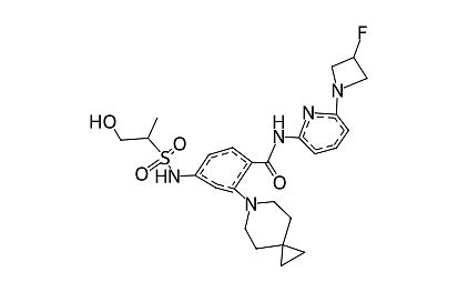 CC(CO)S(=O)(=O)Nc1ccc(C(=O)Nc2cccc(N3CC(F)C3)n2)c(N2CCC3(CC2)CC3)c1